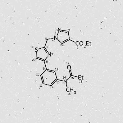 CCOC(=O)c1cnn(Cc2nc(-c3cccc(N(C)C(=O)CC)c3)cs2)c1